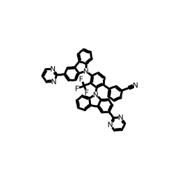 N#Cc1cccc(-c2ccc(-n3c4ccccc4c4cc(-c5ncccn5)ccc43)c(C(F)(F)F)c2-n2c3ccccc3c3cc(-c4ncccn4)ccc32)c1